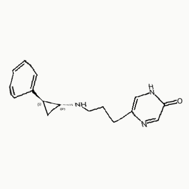 O=c1cnc(CCCN[C@@H]2C[C@H]2c2ccccc2)c[nH]1